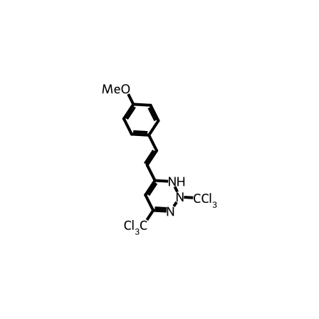 COc1ccc(C=CC2=CC(C(Cl)(Cl)Cl)=NN(C(Cl)(Cl)Cl)N2)cc1